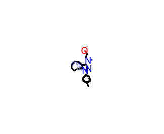 COCCN(C)c1nn(-c2ccc(C)cc2)c2/c1=C\C=C/CC/C=2